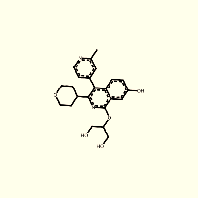 Cc1cc(-c2c(C3CCOCC3)nc(OC(CO)CO)c3cc(O)ccc23)ccn1